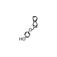 Oc1ccc(OCC2CC3CC2C2C4C=CC(C4)C32)cc1